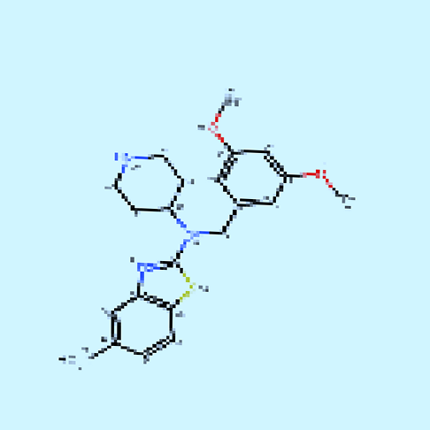 CC(C)Oc1cc(CN(c2nc3cc(C(=O)O)ccc3s2)C2CCNCC2)cc(OC(C)C)c1